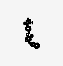 CC(C)(C)NC(=O)N1CCC(COc2coc(Cn3cc4ccccc4c3)cc2=O)CC1